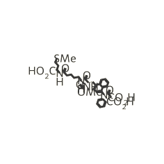 COC(=O)N[C@@H](Cc1ccc(N(C(=O)C(=O)O)c2ccccc2C(=O)O)c2ccccc12)C(=O)NCCCCC(=O)N[C@@H](CCSC)C(=O)O